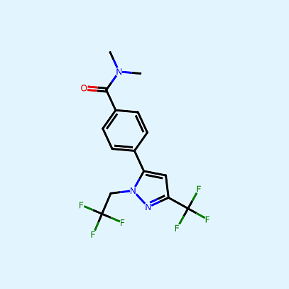 CN(C)C(=O)c1ccc(-c2cc(C(F)(F)F)nn2CC(F)(F)F)cc1